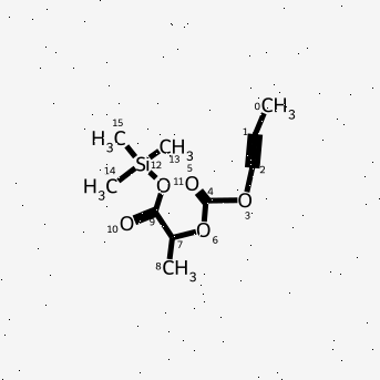 CC#COC(=O)OC(C)C(=O)O[Si](C)(C)C